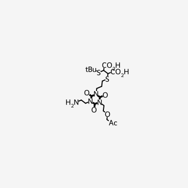 CC(=O)COCCn1c(=O)n(CCN)c(=O)n(CCCSC(C(=O)O)C(SC(C)(C)C)C(=O)O)c1=O